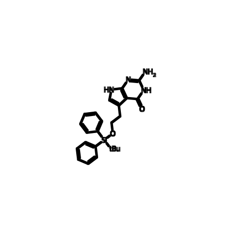 CC(C)(C)[Si](OCCc1c[nH]c2nc(N)[nH]c(=O)c12)(c1ccccc1)c1ccccc1